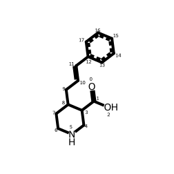 O=C(O)C1CNCCC1CC=Cc1ccccc1